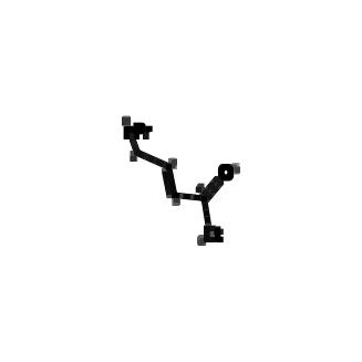 CCCC/C=C/C(=O)CC